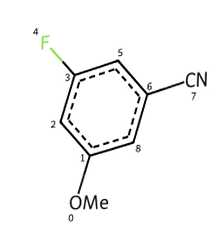 COc1cc(F)cc(C#N)c1